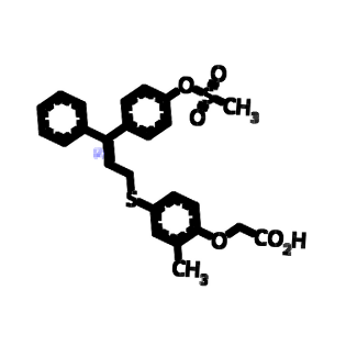 Cc1cc(SC/C=C(/c2ccccc2)c2ccc(OS(C)(=O)=O)cc2)ccc1OCC(=O)O